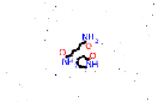 NC(=O)CCCCC(N)=O.O=C1CCCCCN1